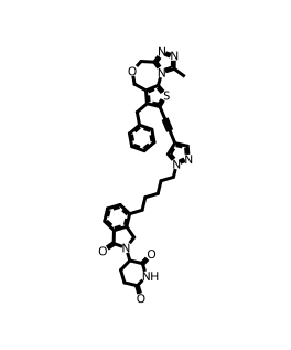 Cc1nnc2n1-c1sc(C#Cc3cnn(CCCCCc4cccc5c4CN(C4CCC(=O)NC4=O)C5=O)c3)c(Cc3ccccc3)c1COC2